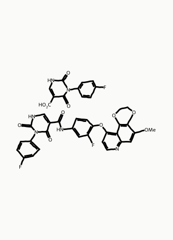 COc1cc2nccc(Oc3ccc(NC(=O)c4c[nH]c(=O)n(-c5ccc(F)cc5)c4=O)cc3F)c2c2c1OCCO2.O=C(O)c1c[nH]c(=O)n(-c2ccc(F)cc2)c1=O